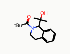 CC(C)(C)C(=O)N1CCc2ccccc2C1C(C)(C)O